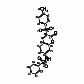 Cc1ccc(S(=O)(=O)c2cc3ccc(NS(=O)(=O)c4ccccc4)cc3oc2=O)cc1